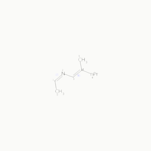 C/C=N\C=C(/C)CCC